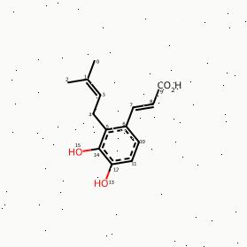 CC(C)=CCc1c(C=CC(=O)O)ccc(O)c1O